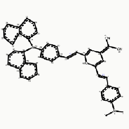 CN(C)c1ccc(/C=C/C2=CC(=C(C#N)C#N)C=C(/C=C/c3ccc(N(c4cccc5ccccc45)c4cccc5ccccc45)cc3)O2)cc1